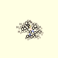 CC(C)(C)c1cc(N2c3cc4c(cc3B3c5sc6cc7c(cc6c5C(c5ccc6c(c5)C(C)(C)CCC6(C)C)=Cc5cc(N6c8ccccc8C8(C)CCCCC68C)cc2c53)C(C)(C)CCC7(C)C)C(C)(C)CCC4(C)C)cc(C(C)(C)C)c1